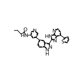 CCCC(=O)Nc1cncc(-c2ccc3[nH]nc(-c4nc5c(-c6cccs6)ccnc5[nH]4)c3c2)c1